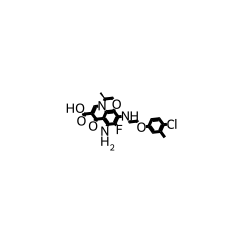 Cc1cc(OCCNc2c(F)c(N)c3c(=O)c(C(=O)O)cn4c3c2OC[C@@H]4C)ccc1Cl